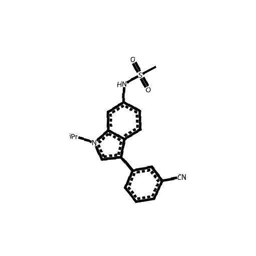 CC(C)n1cc(-c2cccc(C#N)c2)c2ccc(NS(C)(=O)=O)cc21